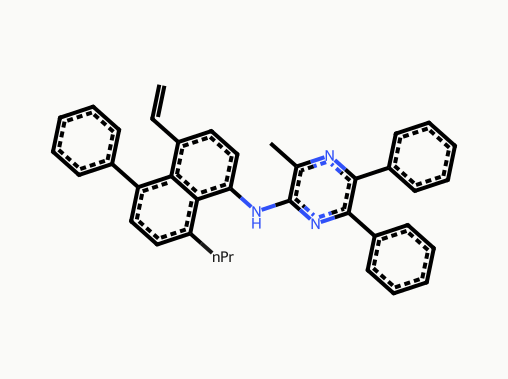 C=Cc1ccc(Nc2nc(-c3ccccc3)c(-c3ccccc3)nc2C)c2c(CCC)ccc(-c3ccccc3)c12